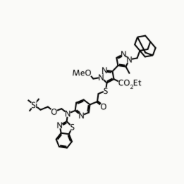 CCOC(=O)c1c(-c2cnn(CC34CC5CC(CC(C5)C3)C4)c2C)nn(COC)c1SCC(=O)c1ccc(N(COCC[Si](C)(C)C)c2nc3ccccc3s2)nc1